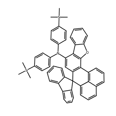 C[Si](C)(C)c1ccc(N(c2ccc([Si](C)(C)C)cc2)c2cc3c(c4oc5ccccc5c24)-c2cccc4cccc(c24)C32c3ccccc3-c3ccccc32)cc1